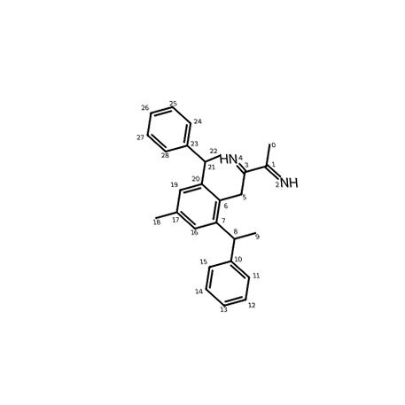 CC(=N)C(=N)Cc1c(C(C)c2ccccc2)cc(C)cc1C(C)c1ccccc1